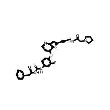 O=C(CN1CCCC1)NCC#Cc1cc2nccc(Oc3ccc(NC(=S)NC(=O)Cc4ccccc4)cc3F)c2s1